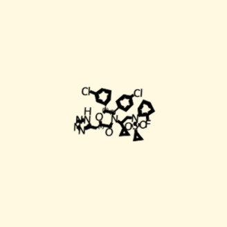 O=C1[C@@H](Cc2nnn[nH]2)O[C@H](c2cccc(Cl)c2)[C@@H](c2ccc(Cl)cc2)N1C(CN(c1ccccc1F)S(=O)(=O)C1CC1)C1CC1